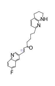 O=C(/C=C/c1cnc2ccc(F)cc2c1)CCCCc1ccc2c(n1)NCCC2